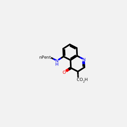 CCCCCNc1cccc2c1C(=O)C(C(=O)O)C=N2